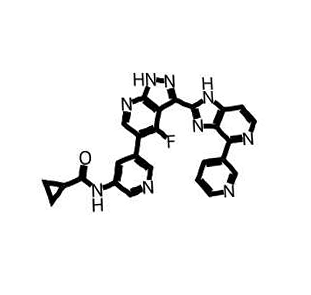 O=C(Nc1cncc(-c2cnc3[nH]nc(-c4nc5c(-c6cccnc6)nccc5[nH]4)c3c2F)c1)C1CC1